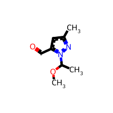 COC(C)n1nc(C)cc1[C]=O